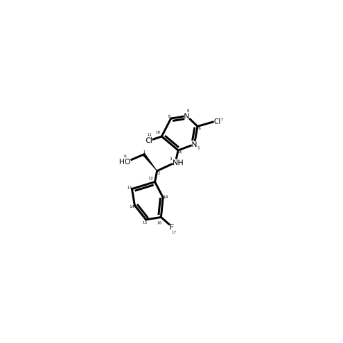 OC[C@@H](Nc1nc(Cl)ncc1Cl)c1cccc(F)c1